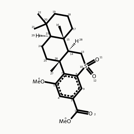 COC(=O)c1cc(OC)c2c(c1)S(=O)(=O)C[C@@H]1[C@@]3(C)CCCC(C)(C)[C@@H]3CC[C@@]21C